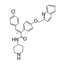 O=C(NC1CCNCC1)/C(=C/c1ccc(Cl)cc1)c1ccc(OCc2ccc3ccccc3n2)cc1